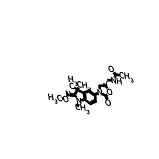 CON=C1N(C)c2ccc(N3C[C@H](CNC(C)=O)OC3=O)cc2C1(C)C